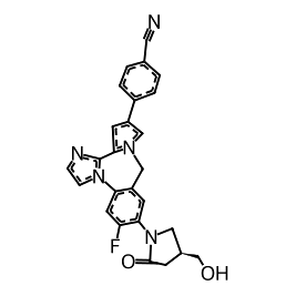 N#Cc1ccc(-c2cc3n(c2)Cc2cc(N4C[C@@H](CO)CC4=O)c(F)cc2-n2ccnc2-3)cc1